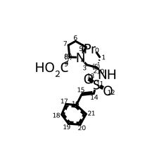 CC(C)C[C@@H](CN1CCC[C@H]1C(=O)O)NS(=O)(=O)C=Cc1ccccc1